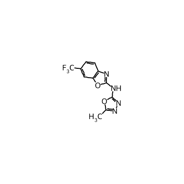 Cc1nnc(Nc2nc3ccc(C(F)(F)F)cc3o2)o1